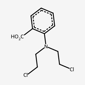 O=C(O)c1ccccc1N(CCCl)CCCl